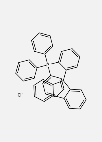 [Cl-].c1ccc([P+](c2ccccc2)(c2ccccc2)c2ccccc2C2c3ccccc3-c3ccccc32)cc1